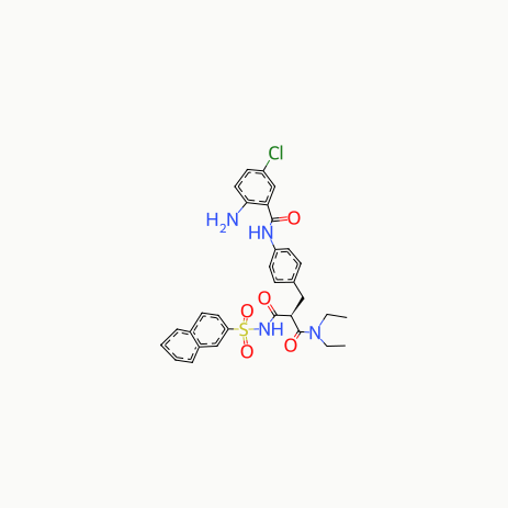 CCN(CC)C(=O)[C@H](Cc1ccc(NC(=O)c2cc(Cl)ccc2N)cc1)C(=O)NS(=O)(=O)c1ccc2ccccc2c1